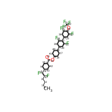 CCCC/C(F)=C(\F)c1ccc(C(=O)Oc2ccc(-c3cc(F)c(-c4cc(F)c(OC(F)(F)F)c(F)c4)c(F)c3)cc2)cc1